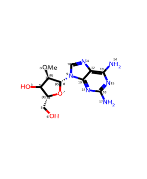 CO[C@@H]1C(O)[C@@H](CO)O[C@H]1n1cnc2c(N)nc(N)nc21